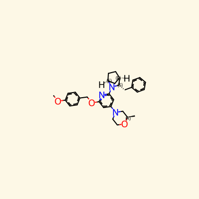 COc1ccc(COc2cc(N3CCO[C@H](C)C3)cc(N3[C@H]4CC[C@H](C4)[C@@H]3Cc3ccccc3)n2)cc1